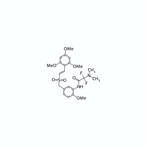 COc1cc(OC)c(/C=C/S(=O)(=O)Cc2ccc(OC)c(NC(=O)C(F)(F)N(C)C)c2)c(OC)c1